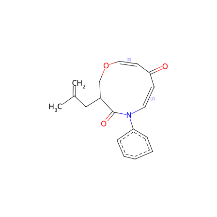 C=C(C)CC1CO/C=C\C(=O)/C=C\N(c2ccccc2)C1=O